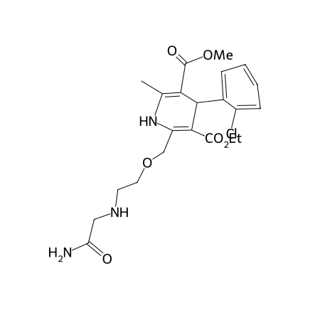 CCOC(=O)C1=C(COCCNCC(N)=O)NC(C)=C(C(=O)OC)C1c1ccccc1Cl